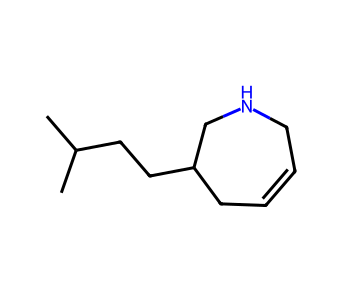 CC(C)CCC1CC=CCNC1